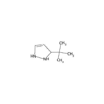 CC(C)(C)C1C=CNN1